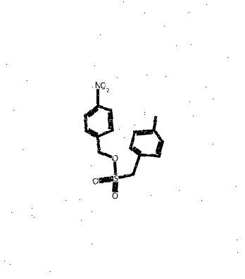 Cc1ccc(CS(=O)(=O)OCc2ccc([N+](=O)[O-])cc2)cc1